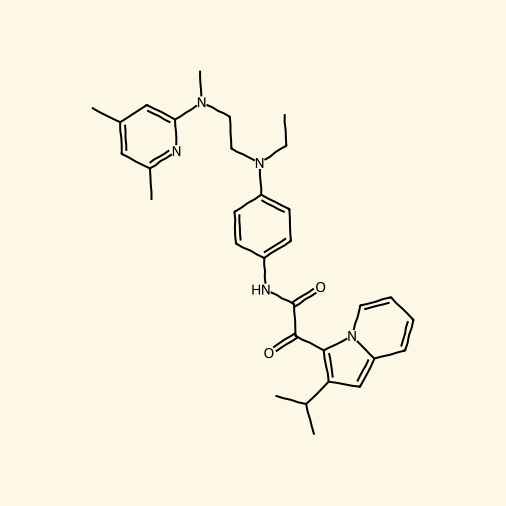 CCN(CCN(C)c1cc(C)cc(C)n1)c1ccc(NC(=O)C(=O)c2c(C(C)C)cc3ccccn23)cc1